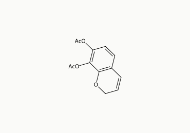 CC(=O)Oc1ccc2c(c1OC(C)=O)OCC=C2